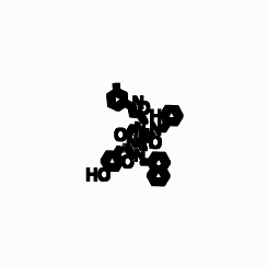 Cc1cccc(-c2cc(CN3CC(=O)N4[C@@H](Cc5ccc(O)cc5)C(=O)N(Cc5cccc6ccccc56)C[C@@H]4N3C(=O)NCc3ccccc3)on2)c1